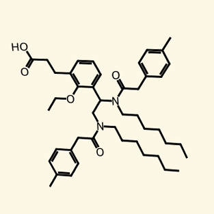 CCCCCCCN(CC(c1cccc(CCC(=O)O)c1OCC)N(CCCCCCC)C(=O)Cc1ccc(C)cc1)C(=O)Cc1ccc(C)cc1